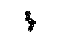 COc1ccc2c(CN3CC(=O)N(c4ccc(OC(F)(F)F)cc4)C3=O)ccnc2c1